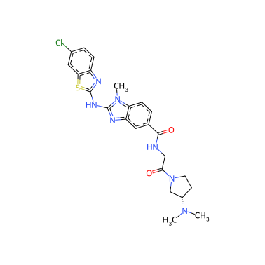 CN(C)[C@H]1CCN(C(=O)CNC(=O)c2ccc3c(c2)nc(Nc2nc4ccc(Cl)cc4s2)n3C)C1